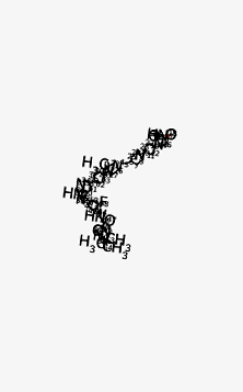 CC1CN(CCC2CCN(c3ccc(N4CCC(=O)NC4=O)cc3)CC2)CCN1c1ccc(-c2cnc3[nH]nc(-c4ccc(CNC(=O)c5nc(C(C)(C)C)no5)c(F)c4)c3c2)cc1